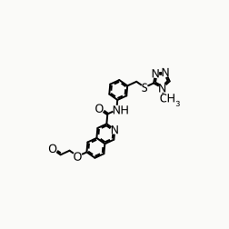 Cn1cnnc1SCc1cccc(NC(=O)c2cc3cc(OCC=O)ccc3cn2)c1